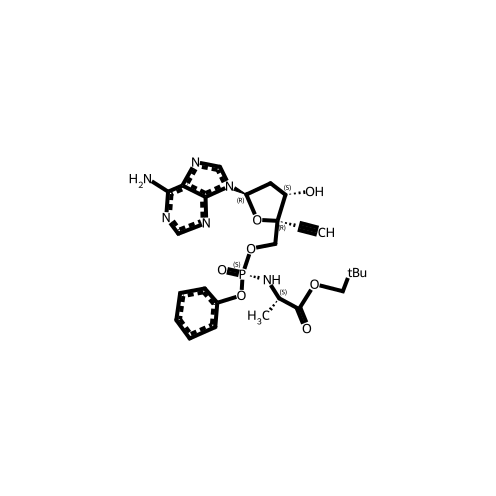 C#C[C@]1(CO[P@@](=O)(N[C@@H](C)C(=O)OCC(C)(C)C)Oc2ccccc2)O[C@@H](n2cnc3c(N)ncnc32)C[C@@H]1O